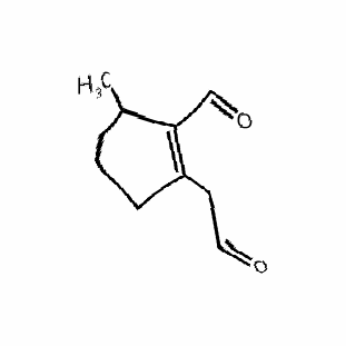 CC1CCC(CC=O)=C1C=O